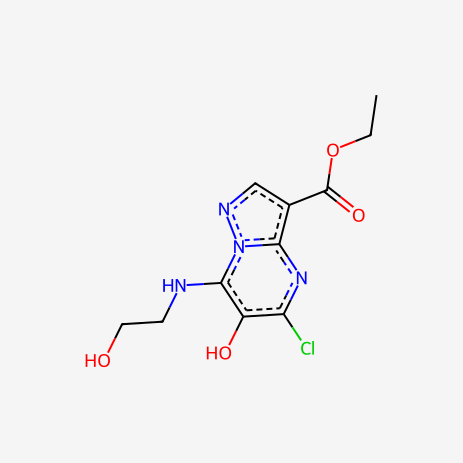 CCOC(=O)c1cnn2c(NCCO)c(O)c(Cl)nc12